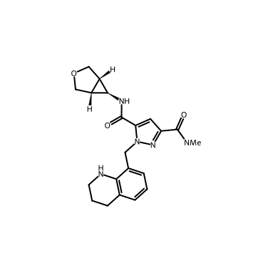 CNC(=O)c1cc(C(=O)N[C@H]2[C@@H]3COC[C@@H]32)n(Cc2cccc3c2NCCC3)n1